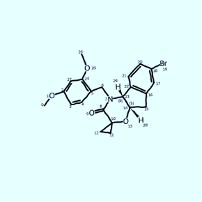 COc1ccc(CN2C(=O)C3(CC3)O[C@H]3Cc4cc(Br)ccc4[C@H]32)c(OC)c1